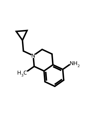 CC1c2cccc(N)c2CCN1CC1CC1